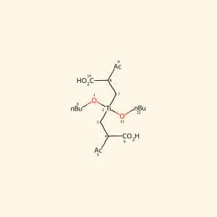 CCCC[O][Ti]([CH2]C(C(C)=O)C(=O)O)([CH2]C(C(C)=O)C(=O)O)[O]CCCC